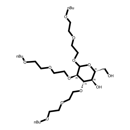 CCCCOCCOCCOC1O[C@H](CO)[C@@H](O)[C@H](OCCOCCOCCCC)[C@H]1OCCOCCOCCCC